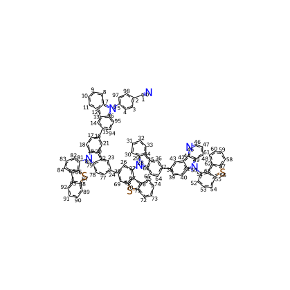 N#Cc1ccc(-n2c3ccccc3c3cc(-c4ccc5c(c4)c4cc(-c6cc(-n7c8ccccc8c8cc(-c9ccc%10c(c9)c9ncccc9n%10-c9cccc%10sc%11ccccc%11c9%10)ccc87)c7c(c6)sc6ccccc67)ccc4n5-c4cccc5c4sc4ccccc45)ccc32)cc1